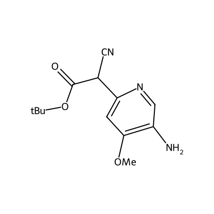 COc1cc(C(C#N)C(=O)OC(C)(C)C)ncc1N